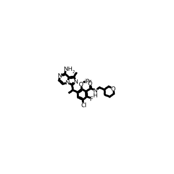 Cc1nc(C(C)c2cc(Cl)c(F)c(C(=O)NCC3CCCOC3)c2OC(C)C)n2ccnc(N)c12